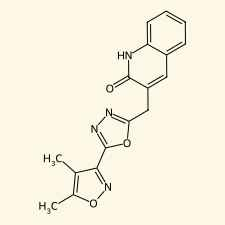 Cc1onc(-c2nnc(Cc3cc4ccccc4[nH]c3=O)o2)c1C